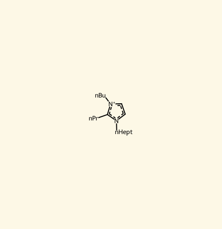 CCCCCCCn1cc[n+](CCCC)c1CCC